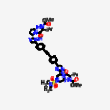 COC(=O)N[C@H](C(=O)N1CCN(S(=O)(=O)N(C)C)C[C@H]1C1=NC(c2ccc(C#Cc3ccc(-c4cnc([C@@H]5CCCN5C(=O)[C@@H](NC(=O)OC)C(C)C)[nH]4)cc3)cc2)CN1)C(C)C